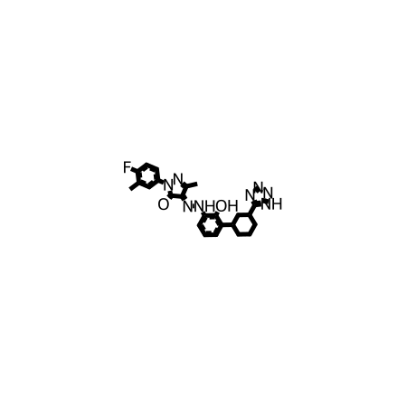 CC1=NN(c2ccc(F)c(C)c2)C(=O)/C1=N/Nc1cccc(C2CCCC(c3nnn[nH]3)C2)c1O